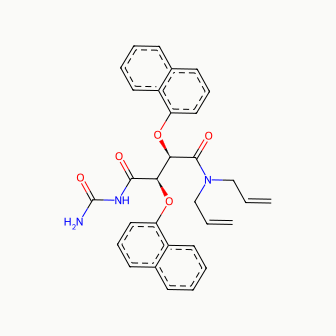 C=CCN(CC=C)C(=O)[C@H](Oc1cccc2ccccc12)[C@@H](Oc1cccc2ccccc12)C(=O)NC(N)=O